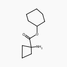 NC1(C(=O)OC2CCCCC2)CCC1